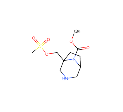 CC(C)(C)OC(=O)N1C2CCC1(COS(C)(=O)=O)CNC2